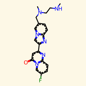 CNCCN(C)Cc1ccc2nc(-c3cc(=O)n4cc(F)ccc4n3)cn2c1